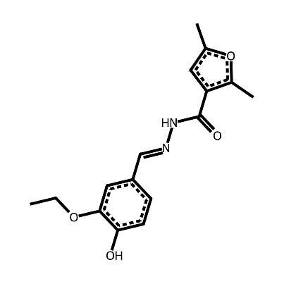 CCOc1cc(/C=N/NC(=O)c2cc(C)oc2C)ccc1O